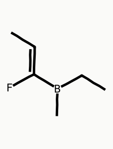 C/C=C(\F)B(C)CC